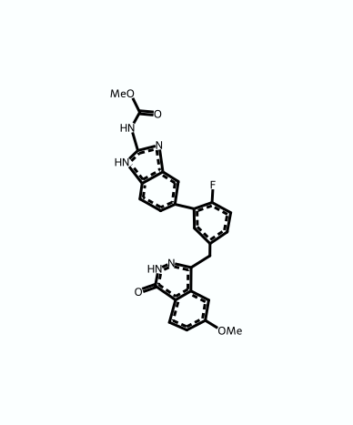 COC(=O)Nc1nc2cc(-c3cc(Cc4n[nH]c(=O)c5ccc(OC)cc45)ccc3F)ccc2[nH]1